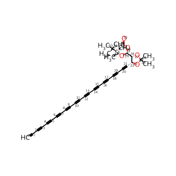 C#CC#CC#CC#CC#CC#CC#CC#CC#CC#CC#C[C@H]1OC(C)(C)O[C@H]1[C@H](OC=O)O[Si](C)(C)C(C)(C)C